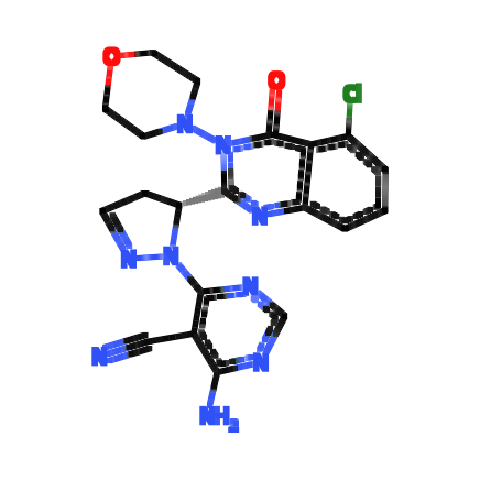 N#Cc1c(N)ncnc1N1N=CC[C@@H]1c1nc2cccc(Cl)c2c(=O)n1N1CCOCC1